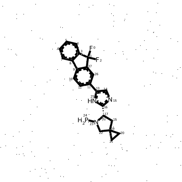 FC1(F)c2ccccc2-c2ccc(-c3cnc([C@@H]4CC5(CC5)CN4P)[nH]3)cc21